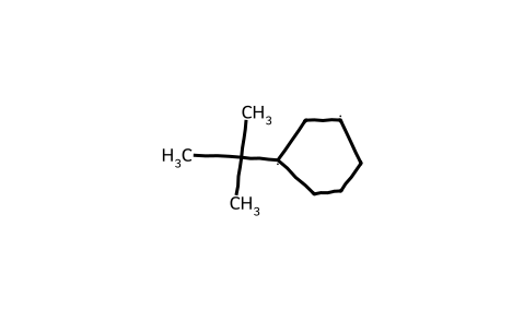 CC(C)(C)[C]1C[CH]CCC1